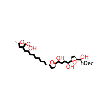 CCCCCCCCCC[C@H](O)[C@H]1CC[C@@H]([C@@H](O)CC[C@H](O)[C@@H]2CC[C@H](CCCCCCC[C@@H](O)CC3=C[C@H](C)OC3=O)O2)O1